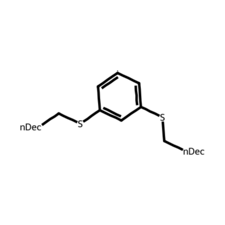 CCCCCCCCCCCSc1c[c]cc(SCCCCCCCCCCC)c1